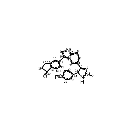 CN1C=C(c2ccc3ncc(-c4ccc5c(c4)CCC5=O)n3c2)C(c2ccc(F)cc2)N1